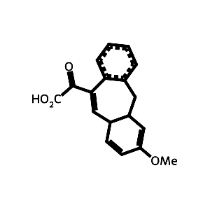 COC1=CC2Cc3ccccc3C(C(=O)C(=O)O)=CC2C=C1